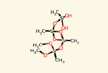 CO[Si](C)(OC)O[Si]1(C)O[Si](C)(O[Si](C)(O)O)O1